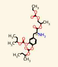 CCOC(=O)OCC(C)OC(=O)[C@@H](N)Cc1ccc(OC(=O)O[C@@H](C)CC)c(OC(=O)OC(C)CC)c1